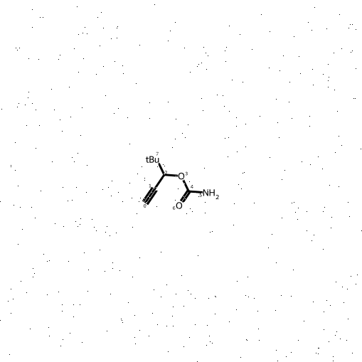 C#CC(OC(N)=O)C(C)(C)C